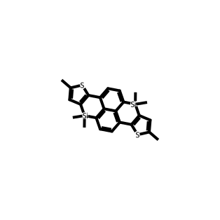 Cc1cc2c(s1)-c1ccc3c4c(ccc(c14)[Si]2(C)C)-c1sc(C)cc1[Si]3(C)C